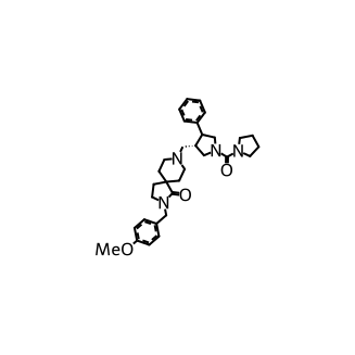 COc1ccc(CN2CCC3(CCN(C[C@H]4CN(C(=O)N5CCCC5)CC4c4ccccc4)CC3)C2=O)cc1